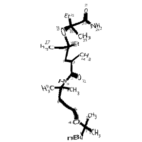 CCCCC(C)(C)OCCC(C)(C)NC(=O)C(C)CC(C)(CC)OC(C)(CC)C(N)=O